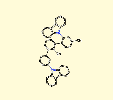 N#Cc1ccc(-c2cccc(-c3cccc(-n4c5ccccc5c5ccccc54)c3)c2C#N)c(-n2c3ccccc3c3ccccc32)c1